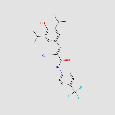 CC(C)c1cc(/C=C(\C#N)C(=O)Nc2ccc(C(F)(F)F)cc2)cc(C(C)C)c1O